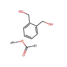 CCCOC(=O)CC.OCc1ccccc1CO